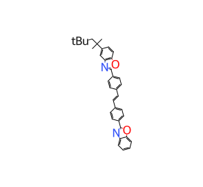 CC(C)(C)CC(C)(C)c1ccc2oc(-c3ccc(C=Cc4ccc(-c5nc6ccccc6o5)cc4)cc3)nc2c1